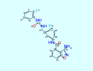 Cc1ccc(F)c(NC(=O)NCc2cc(NC(=O)c3cccc4onc(N)c34)ccc2F)c1